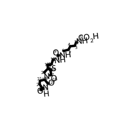 O=C(O)NCCCCCNC(=O)NCc1cc2c(s1)C(=O)N(C1CCC(=O)NC1=O)C2